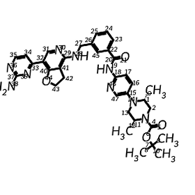 C[C@@H]1CN(C(=O)OC(C)(C)C)[C@@H](C)CN1c1ccc(NC(=O)c2cccc(CNc3ncc(-c4ccnc(N)n4)c4c3CCO4)c2)nc1